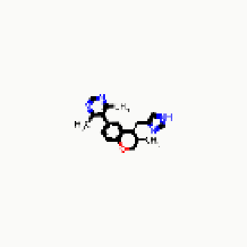 Cc1ncnc(C)c1-c1ccc2c(c1)[C@@H](Cc1c[nH]cn1)[C@@H](C)CO2